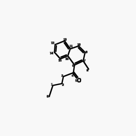 CCCCC(=O)c1c(C)ccc2ccccc12